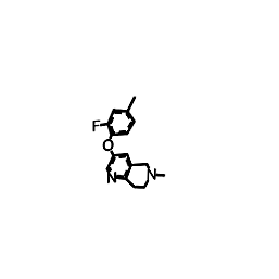 Cc1ccc(Oc2cnc3c(c2)CN(C)CC3)c(F)c1